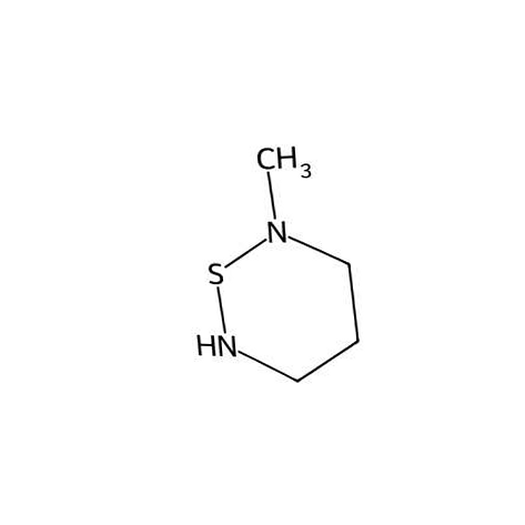 CN1CCCNS1